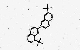 CC(C)(C)c1cnc2cc[n+](-c3cnc4cncc(C(C)(C)C)c4c3)cc2c1